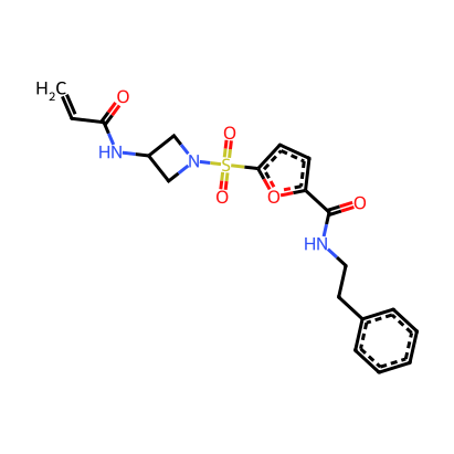 C=CC(=O)NC1CN(S(=O)(=O)c2ccc(C(=O)NCCc3ccccc3)o2)C1